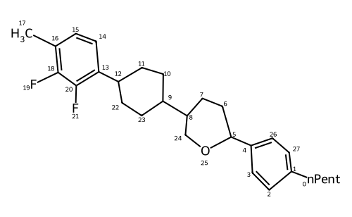 CCCCCc1ccc(C2CCC(C3CCC(c4ccc(C)c(F)c4F)CC3)CO2)cc1